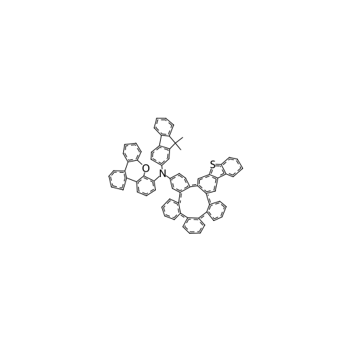 CC1(C)c2ccccc2-c2ccc(N(c3ccc4c(c3)c3ccccc3c3ccccc3c3ccccc3c3cc5c(cc43)sc3ccccc35)c3cccc4c3Oc3ccccc3-c3ccccc3-4)cc21